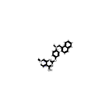 C=N/C=c1/nc(Oc2ccc(N(C)Cc3cccc4ccccc34)cc2)nc(O)/c1=C/C